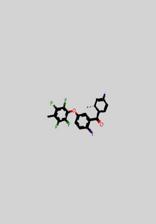 Cc1c(F)c(F)c(Oc2ccc(I)c(C(=O)C3C=CC(I)=C[C@H]3C)c2)c(F)c1F